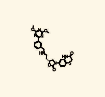 COc1nc(OC)nc(-c2cccc(CNCC[C@@H]3CN(c4ccc5c(c4)NC(=O)CS5)C(=O)O3)c2)n1